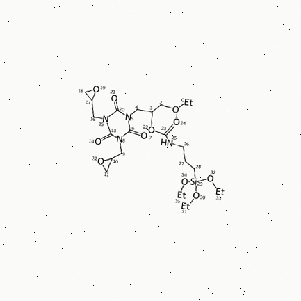 CCOCC(Cn1c(=O)n(CC2CO2)c(=O)n(CC2CO2)c1=O)OC(=O)NCCC[Si](OCC)(OCC)OCC